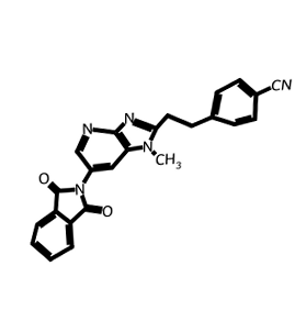 Cn1c(CCc2ccc(C#N)cc2)nc2ncc(N3C(=O)c4ccccc4C3=O)cc21